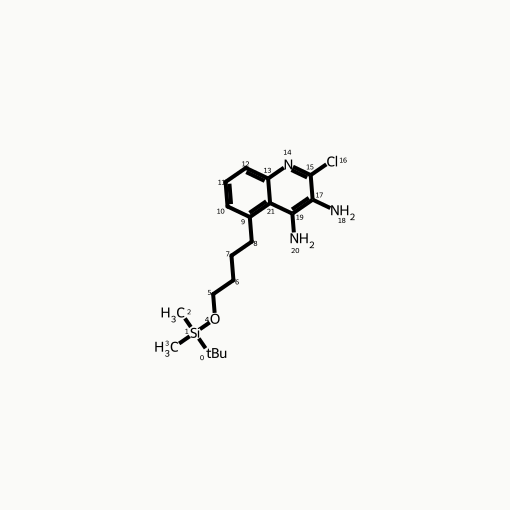 CC(C)(C)[Si](C)(C)OCCCCc1cccc2nc(Cl)c(N)c(N)c12